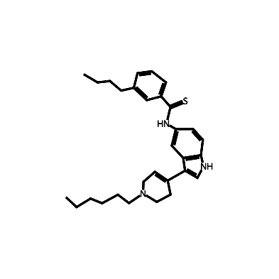 CCCCCCN1CC=C(c2c[nH]c3ccc(NC(=S)c4cccc(CCCC)c4)cc23)CC1